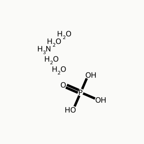 N.O.O.O.O.O=P(O)(O)O